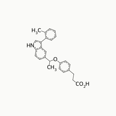 Cc1ccccc1-c1c[nH]c2ccc(C(C)Oc3ccc(CCC(=O)O)cc3)cc12